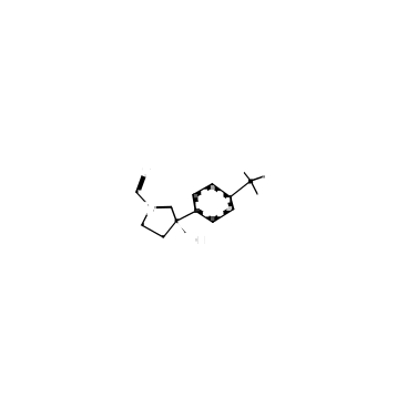 O=CN1CC[C@@](O)(c2ccc(C(F)(F)F)cc2)C1